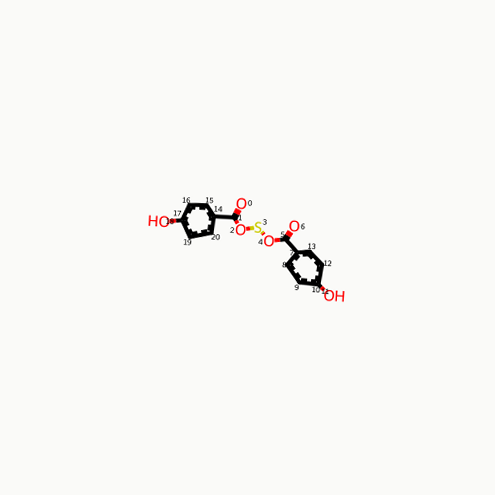 O=C(OSOC(=O)c1ccc(O)cc1)c1ccc(O)cc1